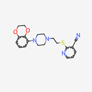 N#Cc1cccnc1SCCN1CCN(c2cccc3c2OCCO3)CC1